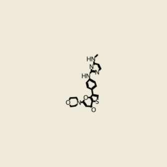 CNc1ccnc(Nc2ccc(-c3csc4c(=O)cc(N5CCOCC5)oc34)cc2)n1